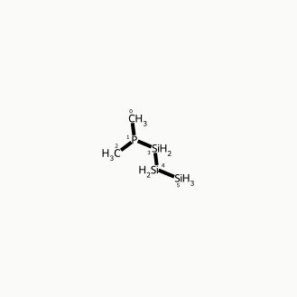 CP(C)[SiH2][SiH2][SiH3]